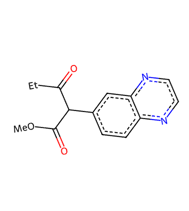 CCC(=O)C(C(=O)OC)c1ccc2nccnc2c1